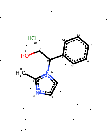 Cc1nccn1C(CO)c1ccccc1.Cl